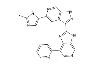 Cc1ncc(-c2cc3c(-c4nc5c(-c6ccccn6)cncc5[nH]4)n[nH]c3cn2)n1C